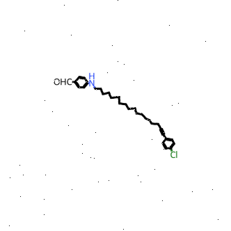 O=Cc1ccc(NCCCCCCCCCCCCCCCCC#Cc2ccc(Cl)cc2)cc1